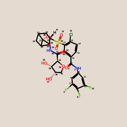 O=C(Nc1cc(F)c(F)c(F)c1)c1ccc(Cl)c(S(=O)(=O)[C@H]2CC3CC(C2)[C@]3(O)CNC(=O)[C@H]2OC[C@H](O)[C@@H]2O)c1